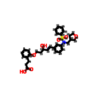 O=C(O)CCc1ccccc1OCCC(O)/C=C/c1cccc(N(CC2CCOC2)S(=O)(=O)c2ccccc2)c1